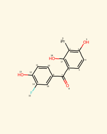 CC(C)c1c(O)ccc(C(=O)c2ccc(O)c(F)c2)c1O